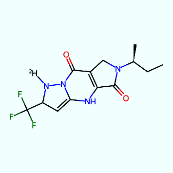 [2H]N1C(C(F)(F)F)C=C2NC3=C(CN([C@@H](C)CC)C3=O)C(=O)N21